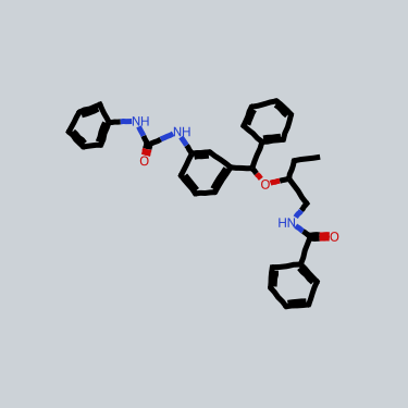 CCC(CNC(=O)c1ccccc1)OC(c1ccccc1)c1cccc(NC(=O)Nc2ccccc2)c1